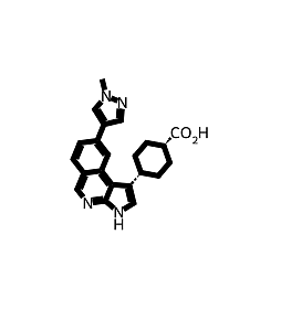 Cn1cc(-c2ccc3cnc4[nH]cc([C@H]5CC[C@@H](C(=O)O)CC5)c4c3c2)cn1